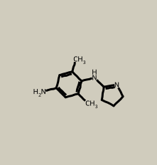 Cc1cc(N)cc(C)c1NC1=NCCC1